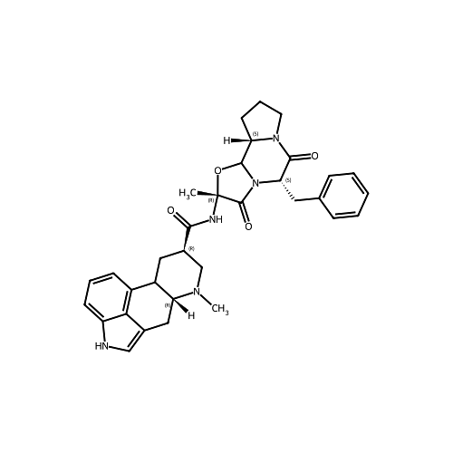 CN1C[C@H](C(=O)N[C@]2(C)OC3[C@@H]4CCCN4C(=O)[C@H](Cc4ccccc4)N3C2=O)CC2c3cccc4[nH]cc(c34)C[C@H]21